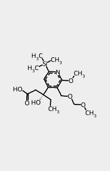 CC[C@@](O)(CC(=O)O)c1cc([Si](C)(C)C)nc(OC)c1COCOC